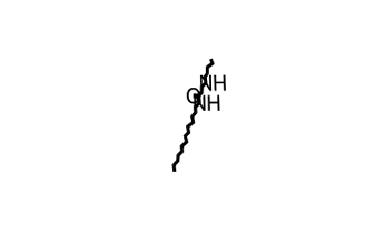 CCCCCCCCCCCCCCNC(=O)CCNCCCCC